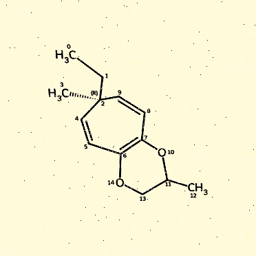 CC[C@]1(C)C=CC2=C(C=C1)OC(C)CO2